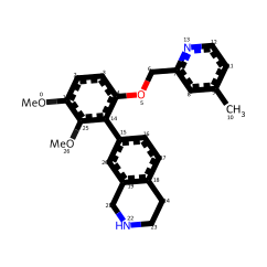 COc1ccc(OCc2cc(C)ccn2)c(-c2ccc3c(c2)CNCC3)c1OC